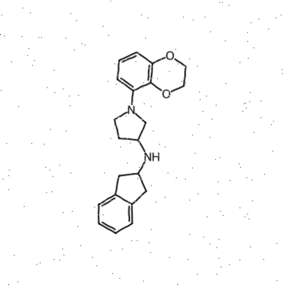 c1ccc2c(c1)CC(NC1CCN(c3cccc4c3OCCO4)C1)C2